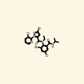 CCN(C(=O)c1cc(Br)nn1-c1ncccc1Cl)c1c(Br)cc(Cl)cc1C(=O)NC(C)C